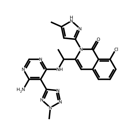 Cc1cc(-n2c(C(C)Nc3ncnc(N)c3-c3nnn(C)n3)cc3cccc(Cl)c3c2=O)n[nH]1